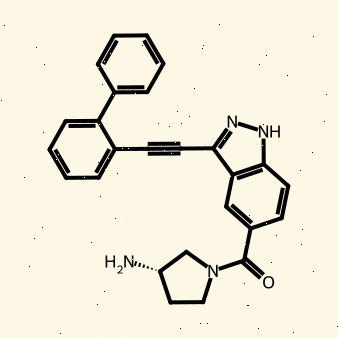 N[C@H]1CCN(C(=O)c2ccc3[nH]nc(C#Cc4ccccc4-c4ccccc4)c3c2)C1